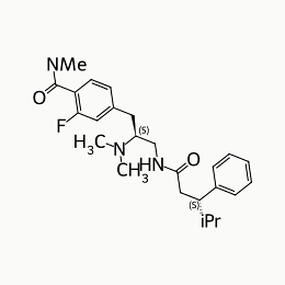 CNC(=O)c1ccc(C[C@@H](CNC(=O)C[C@H](c2ccccc2)C(C)C)N(C)C)cc1F